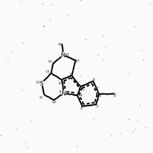 Cc1ccc2c(c1)c1c3n2CCSC3CN(C)C1